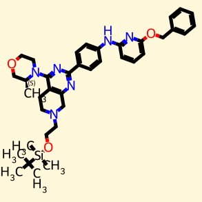 C[C@H]1COCCN1c1nc(-c2ccc(Nc3cccc(OCc4ccccc4)n3)cc2)nc2c1CCN(CCO[Si](C)(C)C(C)(C)C)C2